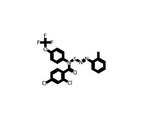 Cc1ccccc1N=NSN(C(=O)c1ccc(Cl)cc1Cl)c1ccc(OC(F)(F)F)cc1